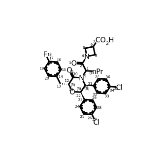 CCCC(C(=O)N1CC(C(=O)O)C1)N1C(=O)[C@@H](Cc2ccc(F)cc2)O[C@H](c2ccc(Cl)cc2)[C@@H]1c1ccc(Cl)cc1